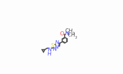 CN(C)C(=O)c1cccc(-c2cn3nc(NCC4CC4)sc3n2)c1